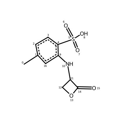 Cc1ccc(S(=O)(=O)O)c(NC2COC2=O)c1